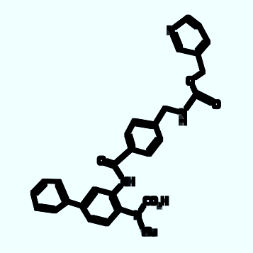 CC(C)(C)N(C(=O)O)c1ccc(-c2ccccc2)cc1NC(=O)c1ccc(CNC(=O)OCc2cccnc2)cc1